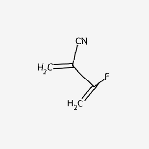 C=C(F)C(=C)C#N